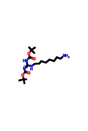 CC(C)(C)OC(=O)/N=C(\NCCCCCCCCN)NC(=O)OC(C)(C)C